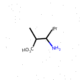 CC(C)C(N)C(C)C(=O)O